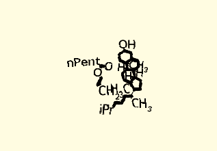 C=CCOC(=O)CCCCC.CC(C)CCCC(C)[C@H]1CC[C@H]2[C@@H]3CC=C4C[C@@H](O)CC[C@]4(C)[C@H]3CC[C@]12C